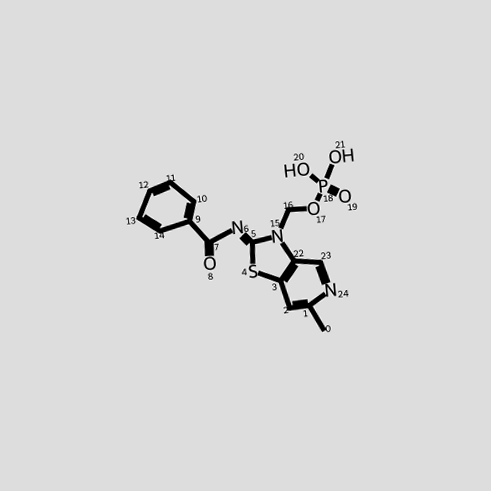 Cc1cc2s/c(=N\C(=O)c3ccccc3)n(COP(=O)(O)O)c2cn1